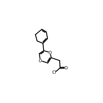 O=C(Cl)CC1=COC=C(C2=CC=CCC2)O1